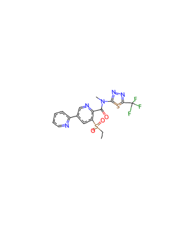 CCS(=O)(=O)c1cc(-c2ccccn2)cnc1C(=O)N(C)c1nnc(C(F)(F)F)s1